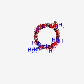 CC(=O)NC1CC(=O)CCCOCCOCCC(=O)NC(C(=O)CC(CSSC(C)(C)C)C(N)=O)CCCCCC(=O)CCOCCOCCNC(=O)C(NC(C)=O)CSC2CC(=O)N(CCC(=O)NCCOCCOCCC(=O)NC(C(=O)CC(CCCCN)C(N)=O)CCCCNC(=O)CCOCCOCCCC(=O)CCN3C(=O)CC(S1)C3=O)C2=O